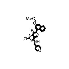 COCOc1cc(-c2ncc3c(NCC4CCOCC4)nc(Cl)nc3c2F)c2ccccc2c1